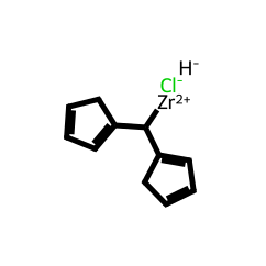 [Cl-].[H-].[Zr+2][CH](C1=CC=CC1)C1=CC=CC1